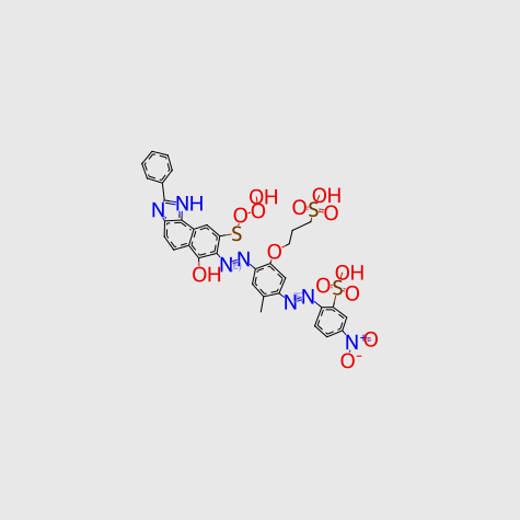 Cc1cc(/N=N/c2c(SOOO)cc3c(ccc4nc(-c5ccccc5)[nH]c43)c2O)c(OCCCS(=O)(=O)O)cc1/N=N/c1ccc([N+](=O)[O-])cc1S(=O)(=O)O